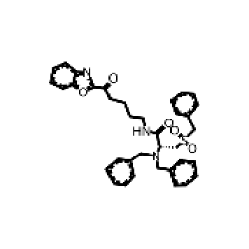 O=C(CCCCNC(=O)[C@H](CS(=O)(=O)Cc1ccccc1)N(Cc1ccccc1)Cc1ccccc1)c1nc2ccccc2o1